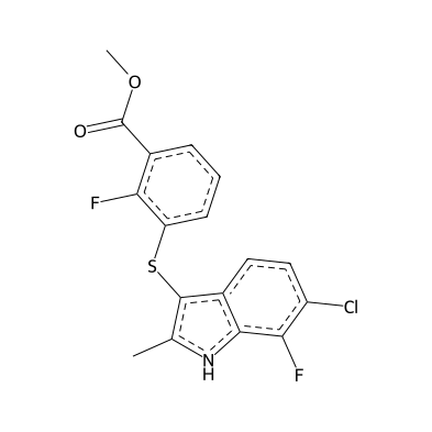 COC(=O)c1cccc(Sc2c(C)[nH]c3c(F)c(Cl)ccc23)c1F